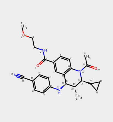 COCCNC(=O)c1ccc2c(c1)[C@H](Nc1ccc(C#N)cc1)[C@@H](C)[C@H](C1CC1)N2C(C)=O